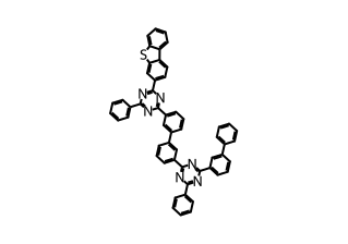 c1ccc(-c2cccc(-c3nc(-c4ccccc4)nc(-c4cccc(-c5cccc(-c6nc(-c7ccccc7)nc(-c7ccc8c(c7)sc7ccccc78)n6)c5)c4)n3)c2)cc1